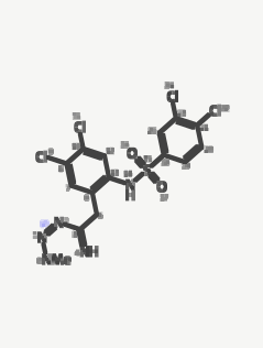 CN/N=N\C(=N)Cc1cc(Cl)c(Cl)cc1NS(=O)(=O)c1ccc(Cl)c(Cl)c1